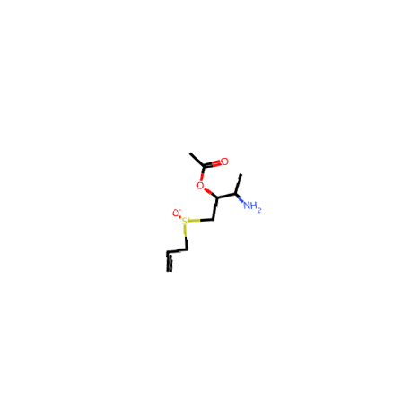 C=CC[S+]([O-])CC(OC(C)=O)C(C)N